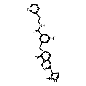 Cn1nccc1-c1cc2ccn(Cc3cc(F)cc(C(=O)NCCc4cccnc4)c3)c(=O)c2cn1